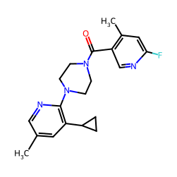 Cc1cnc(N2CCN(C(=O)c3cnc(F)cc3C)CC2)c(C2CC2)c1